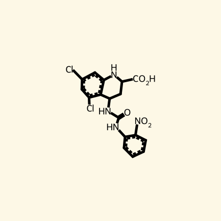 O=C(Nc1ccccc1[N+](=O)[O-])NC1CC(C(=O)O)Nc2cc(Cl)cc(Cl)c21